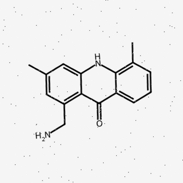 Cc1cc(CN)c2c(=O)c3cccc(C)c3[nH]c2c1